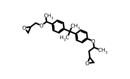 CC(CC1CO1)Oc1ccc(C(C)(C)c2ccc(C(C)OCC3CO3)cc2)cc1